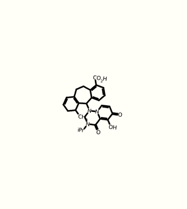 CC1CC=CC2=C1C(N1CN(C(C)C)C(=O)c3c(O)c(=O)ccn31)c1cccc(C(=O)O)c1CC2